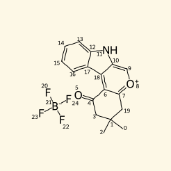 CC1(C)CC(=O)c2c([o+]cc3[nH]c4ccccc4c23)C1.F[B-](F)(F)F